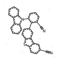 N#Cc1ccc2sc3ccc(-c4c(C#N)cccc4-n4c5ccccc5c5ccccc54)cc3c2c1